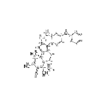 CC1C=C(Oc2ccccc2)C=CC1c1c2c(nn1C)[C@@]1(C)C=C(C#N)C(=O)C(C)(C)[C@@H]1CC2